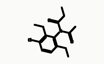 CCC(=O)N(C(C)=O)c1c(CC)ccc(Cl)c1CC